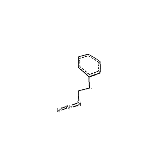 [N-]=[N+]=NC[CH]c1ccccc1